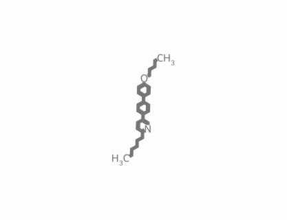 CCCCCCc1ccc(-c2ccc(-c3ccc(OCCCCC)cc3)cc2)cn1